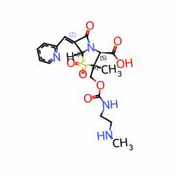 CNCCNC(=O)OC[C@@]1(C)[C@H](C(=O)O)N2C(=O)/C(=C/c3ccccn3)[C@H]2S1(=O)=O